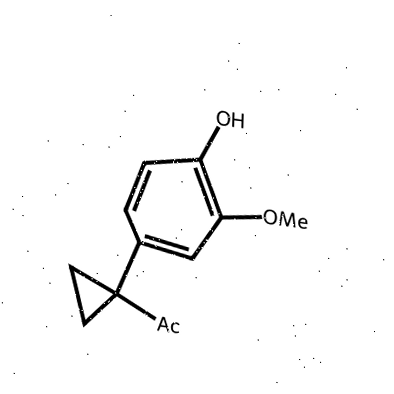 COc1cc(C2(C(C)=O)CC2)ccc1O